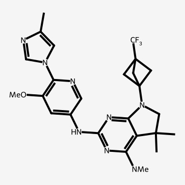 CNc1nc(Nc2cnc(-n3cnc(C)c3)c(OC)c2)nc2c1C(C)(C)CN2C12CC(C(F)(F)F)(C1)C2